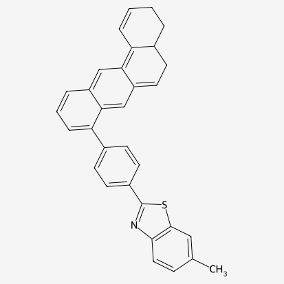 Cc1ccc2nc(-c3ccc(-c4cccc5cc6c(cc45)=CCC4CCC=CC=64)cc3)sc2c1